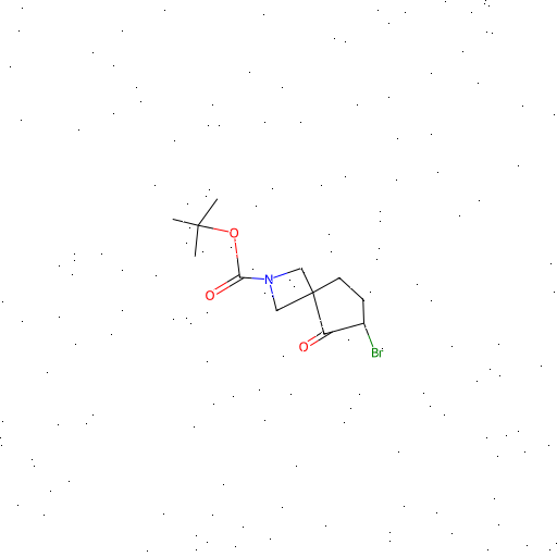 CC(C)(C)OC(=O)N1CC2(CCC(Br)C2=O)C1